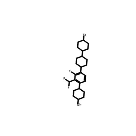 CCCC1CCC(c2ccc(C3CCC(C4CCC(CC)CC4)CC3)c(F)c2C(F)F)CC1